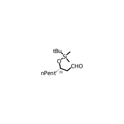 CCCCC[C@@H](CC=O)O[Si](C)(C)C(C)(C)C